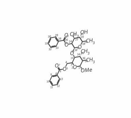 CO[C@H]1OC(COC(=O)c2ccccc2)[C@@H](O[C@@H]2OC(C)[C@@H](O)[C@H](C)C2OC(=O)c2ccccc2)[C@H](C)C1C